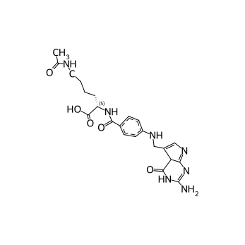 CC(=O)NCCCC[C@H](NC(=O)c1ccc(NCC2=CN=C3N=C(N)NC(=O)C23)cc1)C(=O)O